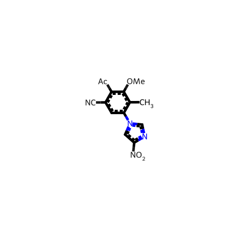 COc1c(C)c(-n2cnc([N+](=O)[O-])c2)cc(C#N)c1C(C)=O